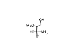 CCC(N)(O)C(CO)OC